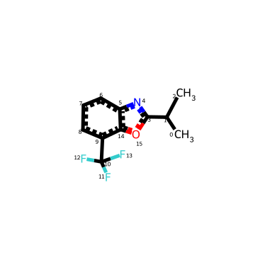 CC(C)c1nc2cccc(C(F)(F)F)c2o1